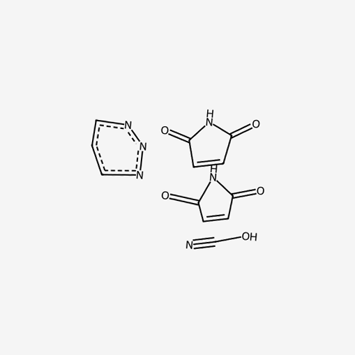 N#CO.O=C1C=CC(=O)N1.O=C1C=CC(=O)N1.c1cnnnc1